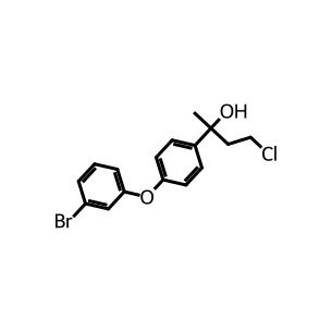 CC(O)(CCCl)c1ccc(Oc2cccc(Br)c2)cc1